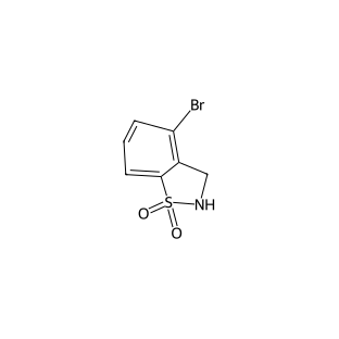 O=S1(=O)NCc2c(Br)cccc21